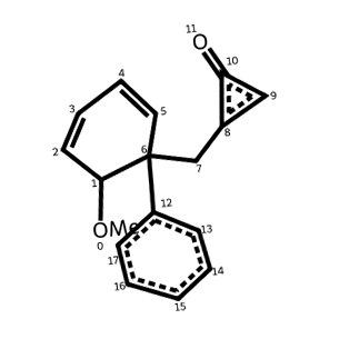 COC1C=CC=CC1(Cc1cc1=O)c1ccccc1